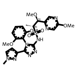 COc1cnc([C@H](OC)[C@@H](C)S(=O)(=O)Nc2nnc(-c3ccn(C)n3)n2-c2c(OC)cccc2OC)cn1